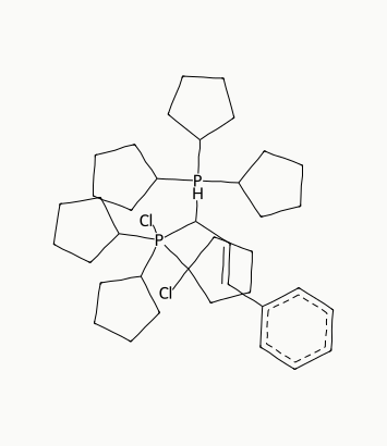 ClC1(P(Cl)(C2CCCC2)(C2CCCC2)C(C=Cc2ccccc2)[PH](C2CCCC2)(C2CCCC2)C2CCCC2)CCCC1